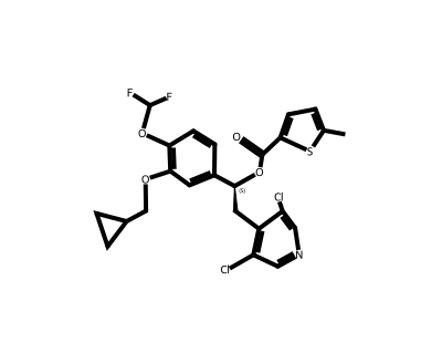 Cc1ccc(C(=O)O[C@@H](Cc2c(Cl)cncc2Cl)c2ccc(OC(F)F)c(OCC3CC3)c2)s1